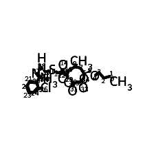 CCCCOC[C@@H]1C[C@H](C)C[C@@](C)(C(=O)CSc2nc(-c3ccccc3Cl)n[nH]2)OC(=O)C(=O)O1